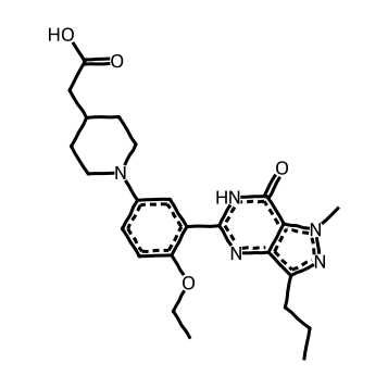 CCCc1nn(C)c2c(=O)[nH]c(-c3cc(N4CCC(CC(=O)O)CC4)ccc3OCC)nc12